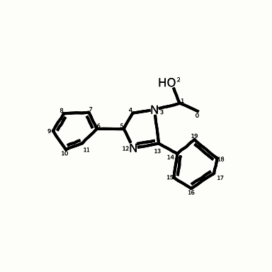 CC(O)N1CC(c2ccccc2)N=C1c1ccccc1